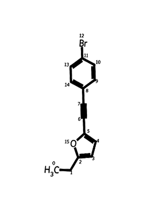 CCc1ccc(C#Cc2ccc(Br)cc2)o1